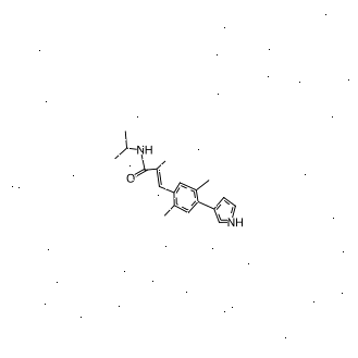 C/C(=C\c1cc(C)c(-c2cc[nH]c2)cc1C)C(=O)NC(C)C